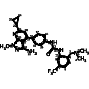 CN(C)Cc1ccc(C(F)(F)F)cc1NC(=O)Nc1ccc(-c2cc(C3CC3)nc3c2c(N)nn3C)cc1